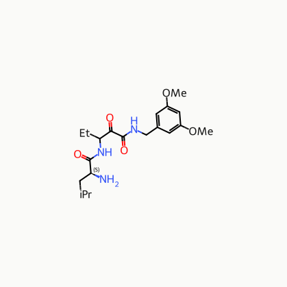 CCC(NC(=O)[C@@H](N)CC(C)C)C(=O)C(=O)NCc1cc(OC)cc(OC)c1